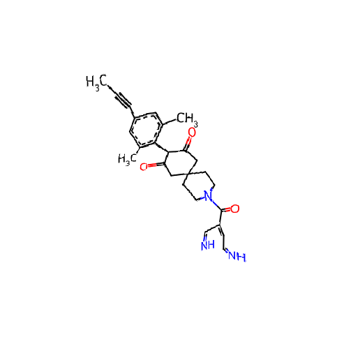 CC#Cc1cc(C)c(C2C(=O)CC3(CCN(C(=O)/C(C=N)=C/C=N)CC3)CC2=O)c(C)c1